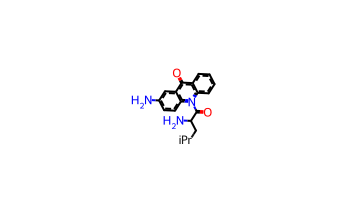 CC(C)CC(N)C(=O)n1c2ccccc2c(=O)c2cc(N)ccc21